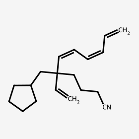 C=C/C=C\C=C/C(C=C)(CCCC#N)CC1CCCC1